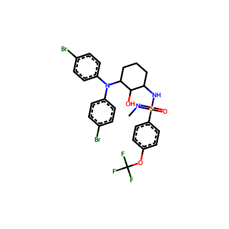 CN=S(=O)(NC1CCCC(N(c2ccc(Br)cc2)c2ccc(Br)cc2)C1O)c1ccc(OC(F)(F)F)cc1